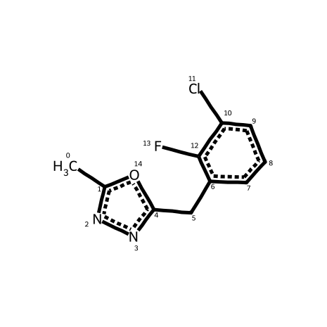 Cc1nnc(Cc2cccc(Cl)c2F)o1